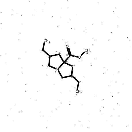 CCC1CN2CC(CC)CC2(C(=O)OC)C1